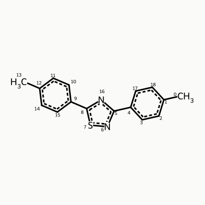 Cc1ccc(-c2nsc(-c3ccc(C)cc3)n2)cc1